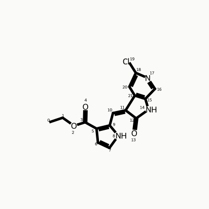 CCOC(=O)c1cc[nH]c1/C=C1\C(=O)Nc2cnc(Cl)cc21